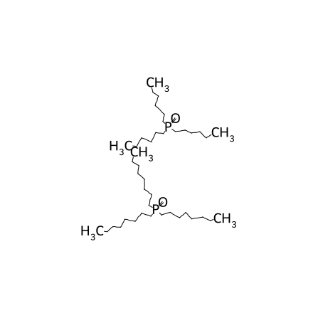 CCCCCCCCP(=O)(CCCCCCCC)CCCCCCCC.CCCCCCP(=O)(CCCCCC)CCCCCC